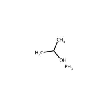 CC(C)O.P